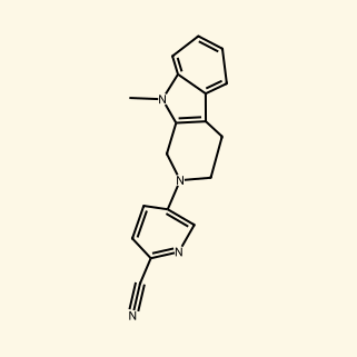 Cn1c2c(c3ccccc31)CCN(c1ccc(C#N)nc1)C2